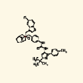 Cc1ccc(-n2nc(C(C)(C)C)cc2NC(=O)Nc2ccc(CC3CC4CCC(C3)N4C(=O)Cc3csc4ccc(Cl)cc34)cc2)cc1